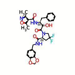 Cc1noc(C)c1C(=O)N[C@@H](Cc1ccccc1)[C@H](O)C(=O)N1CC(F)(F)C[C@H]1C(=O)NCc1ccc2c(c1)OCO2